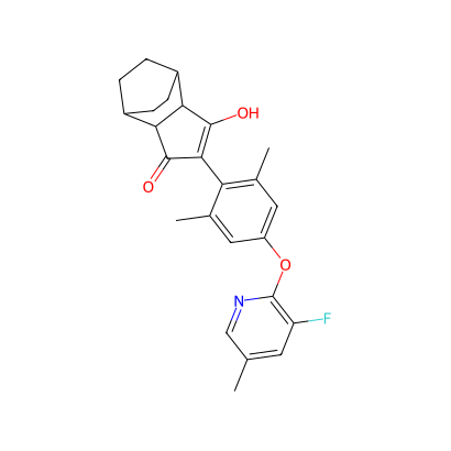 Cc1cnc(Oc2cc(C)c(C3=C(O)C4C5CCC(CC5)C4C3=O)c(C)c2)c(F)c1